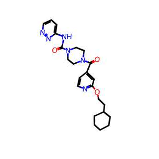 O=C(Nc1cccnn1)N1CCN(C(=O)c2ccnc(OCCC3CCCCC3)c2)CC1